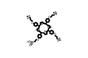 CCCCCCCCCCCCOc1ccc(-c2c3nc(c(-c4ccc(OCCC[N+](C)(C)C)cc4)c4ccc([nH]4)c(-c4ccc(OCCC[N+](C)(C)C)cc4)c4nc(c(-c5ccc(OCCC[N+](C)(C)C)cc5)c5ccc2[nH]5)C=C4)C=C3)cc1.[Cl-].[Cl-].[Cl-]